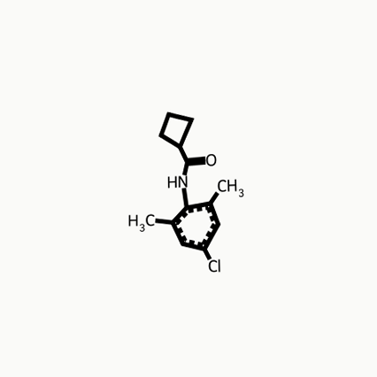 Cc1cc(Cl)cc(C)c1NC(=O)C1CCC1